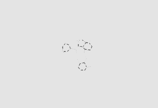 Cc1ccc(OCc2c(Cl)cccc2Cl)c2c(N(C)c3cccnc3)noc12